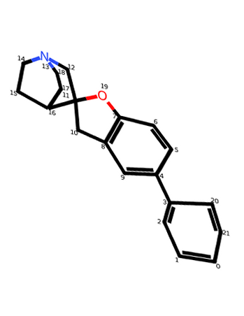 c1ccc(-c2ccc3c(c2)CC2(CN4CCC2CC4)O3)cc1